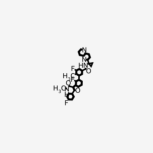 CNC(=O)c1c(-c2ccc(F)cc2)oc2ccc(-c3cc(C(=O)NC4(c5ccc6ncccc6n5)CC4)cc(F)c3C)c(F)c12